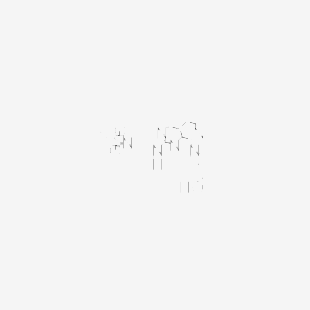 Cc1cc2cnc(NC3CCN(S(=O)(=O)C4CC4)CC3)nc2c(N2CC3(C2)CC(C)(O)C3)n1